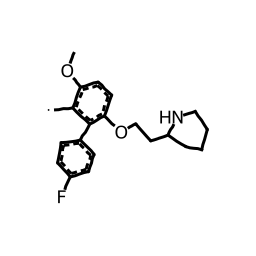 [CH2]c1c(OC)ccc(OCCC2CCCCN2)c1-c1ccc(F)cc1